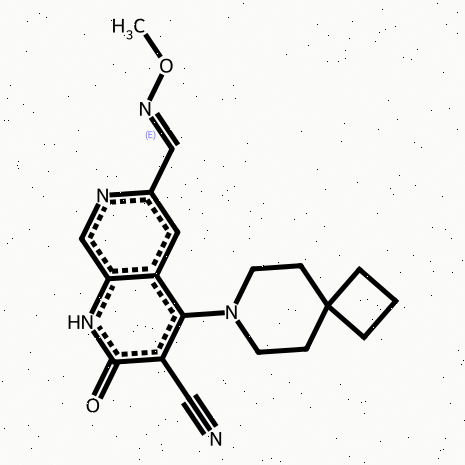 CO/N=C/c1cc2c(N3CCC4(CCC4)CC3)c(C#N)c(=O)[nH]c2cn1